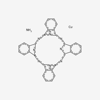 N.[Cu].c1ccc2c(c1)-c1nc-2nc2[nH]c(nc3nc(nc4[nH]c(n1)c1ccccc41)-c1ccccc1-3)c1ccccc21